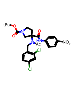 CC(=O)N(Cc1ccc(Cl)cc1Cl)C1(C(=O)Nc2ccc([N+](=O)[O-])cc2)CCN(C(=O)OC(C)(C)C)C1